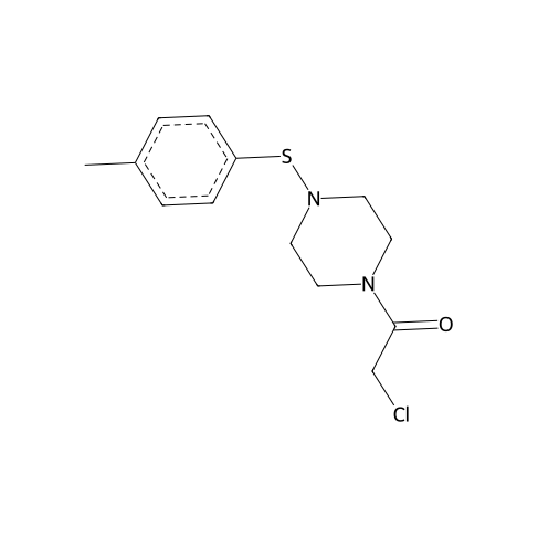 Cc1ccc(SN2CCN(C(=O)CCl)CC2)cc1